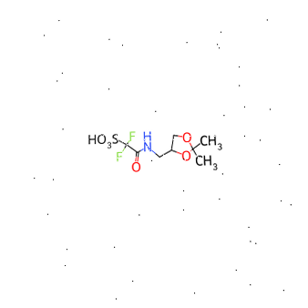 CC1(C)OCC(CNC(=O)C(F)(F)S(=O)(=O)O)O1